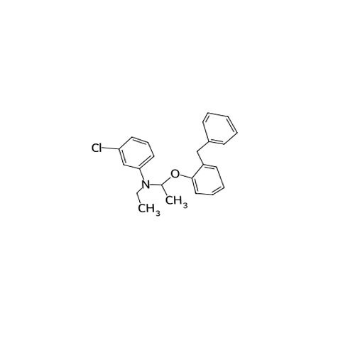 CCN(c1cccc(Cl)c1)C(C)Oc1ccccc1Cc1ccccc1